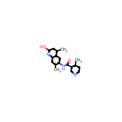 Cc1cc2nc(O)cc(C)c2cc1NC(=O)c1cnccc1C